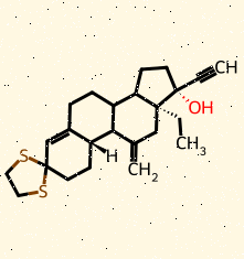 C#C[C@]1(O)CCC2C3CCC4=CC5(CC[C@H]4C3C(=C)C[C@@]21CC)SCCS5